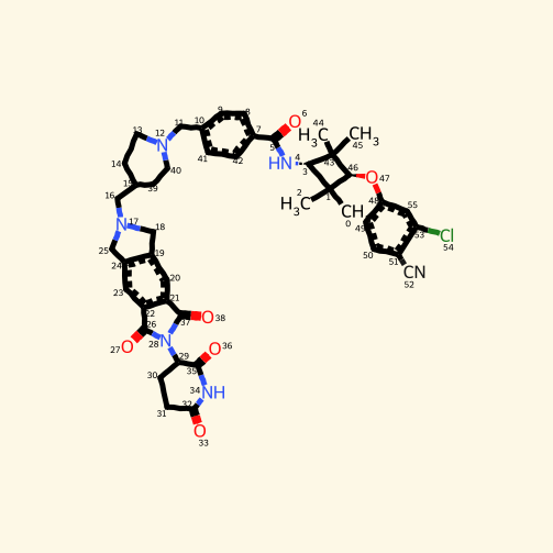 CC1(C)[C@H](NC(=O)c2ccc(CN3CCC(CN4Cc5cc6c(cc5C4)C(=O)N(C4CCC(=O)NC4=O)C6=O)CC3)cc2)C(C)(C)[C@H]1Oc1ccc(C#N)c(Cl)c1